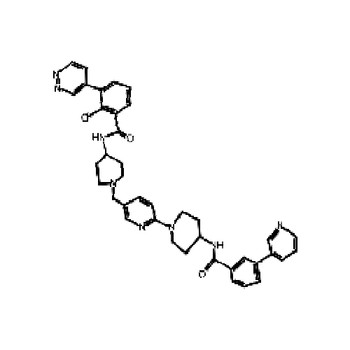 O=C(NC1CCN(c2ccc(CN3CCC(NC(=O)c4cccc(-c5ccnnc5)c4Cl)CC3)cn2)CC1)c1cccc(-c2cccnc2)c1